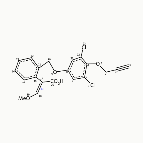 C#CCOc1c(Cl)cc(OCc2ccccc2/C(=C\OC)C(=O)O)cc1Cl